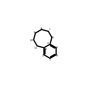 [c]1ccc2c(c1)CCCCCC2